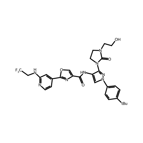 CC(C)(C)c1ccc(-n2cc(NC(=O)c3coc(-c4ccnc(NCC(F)(F)F)c4)n3)c(N3CCN(CCO)C3=O)n2)cc1